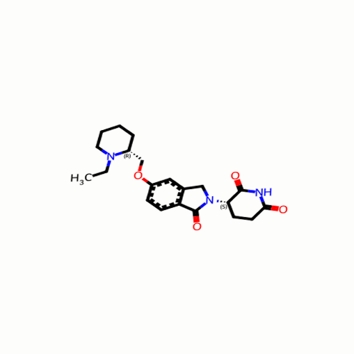 CCN1CCCC[C@@H]1COc1ccc2c(c1)CN([C@H]1CCC(=O)NC1=O)C2=O